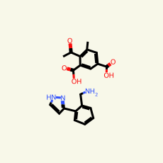 CC(=O)c1c(C)cc(C(=O)O)cc1C(=O)O.NCc1ccccc1-c1cc[nH]n1